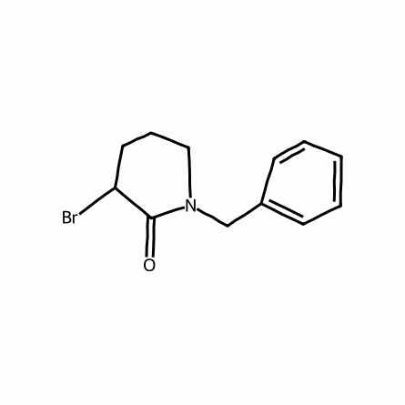 O=C1C(Br)CCCN1Cc1ccccc1